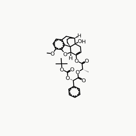 COc1ccc2c3c1O[C@H]1C(OC(=O)[C@H](C)OC(=O)[C@@H](OC(=O)OC(C)(C)C)c4ccccc4)=CC[C@@]4(O)[C@H](CCC[C@]314)C2